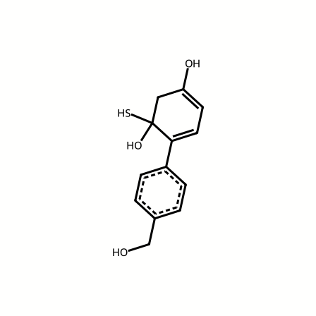 OCc1ccc(C2=CC=C(O)CC2(O)S)cc1